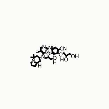 CC1(C)C[C@H](N(CC(O)CO)c2nc(Nc3ccc(OCC(O)CO)c(C#N)c3)ncc2F)C[C@H]2CCCN21